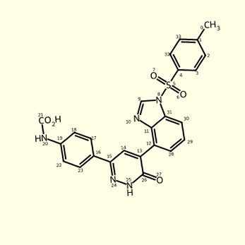 Cc1ccc(S(=O)(=O)n2cnc3c(-c4cc(-c5ccc(NC(=O)O)cc5)n[nH]c4=O)cccc32)cc1